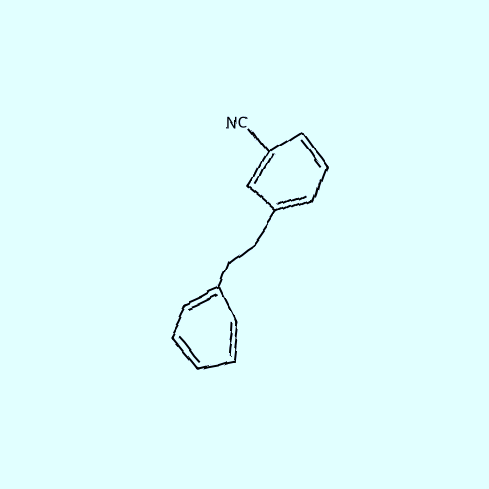 N#Cc1cccc(CCc2ccccc2)c1